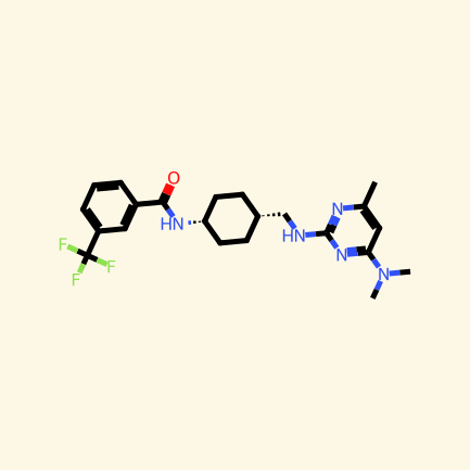 Cc1cc(N(C)C)nc(NC[C@H]2CC[C@@H](NC(=O)c3cccc(C(F)(F)F)c3)CC2)n1